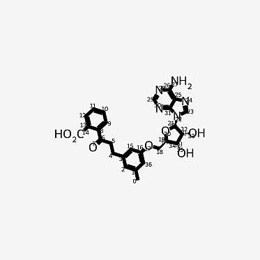 Cc1cc(CCC(=O)c2ccccc2C(=O)O)cc(OC[C@H]2O[C@@H](n3cnc4c(N)ncnc43)[C@H](O)[C@@H]2O)c1